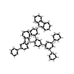 c1ccc(-c2ccc3c(c2)c2ccccc2n3-c2ccc(-c3nc(-c4ccccc4)cc(-c4ccccc4)n3)cc2-c2cccc(-n3c4ccccc4c4ccccc43)c2)cc1